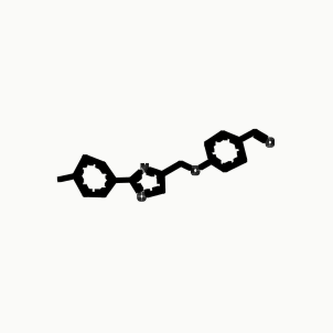 Cc1ccc(-c2nc(COc3ccc(C=O)cc3)co2)cc1